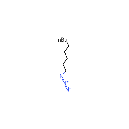 [CH2]CCCCCCCCN=[N+]=[N-]